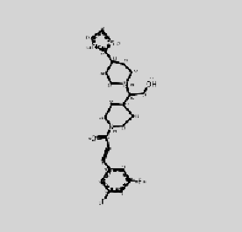 O=C(/C=C/c1cc(F)cc(F)c1)N1CCC(C(CO)N2CCC(c3nccs3)CC2)CC1